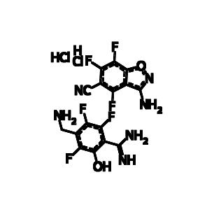 Cl.Cl.N#Cc1c(F)c(F)c2onc(N)c2c1F.N=C(N)c1c(O)c(F)c(CN)c(F)c1F